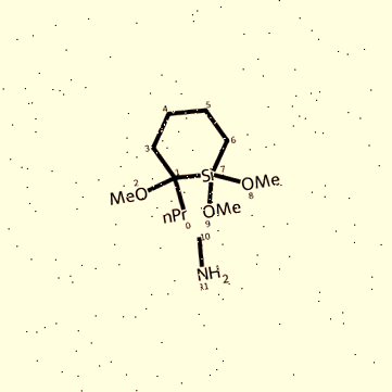 CCCC1(OC)CCCC[Si]1(OC)OC.CN